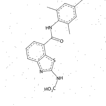 Cc1cc(C)c(NC(=O)c2cccc3nc(NC(=O)O)sc23)c(C)c1